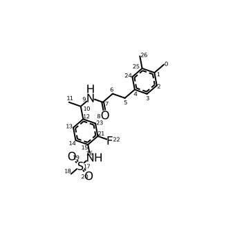 Cc1ccc(CCC(=O)NC(C)c2ccc(NS(C)(=O)=O)c(F)c2)cc1C